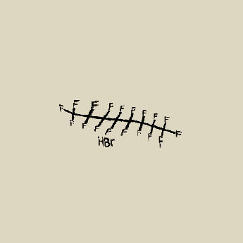 Br.FC(F)(F)C(F)(F)C(F)(F)C(F)(F)C(F)(F)C(F)(F)C(F)(F)C(F)(F)F